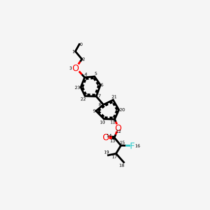 CCCOc1ccc(-c2ccc(OC(=O)C(F)C(C)C)cc2)cc1